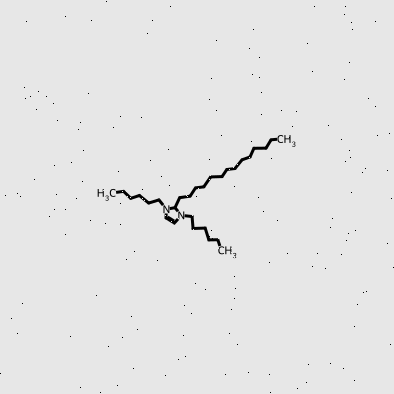 CCCCCCCCCCCCCCC1N(CCCCCC)C=CN1CCCCCC